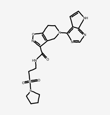 O=C(NCCS(=O)(=O)N1CCCC1)c1noc2c1CN(c1ncnc3[nH]ccc13)CC2